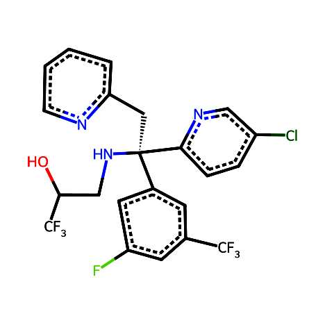 OC(CN[C@](Cc1ccccn1)(c1cc(F)cc(C(F)(F)F)c1)c1ccc(Cl)cn1)C(F)(F)F